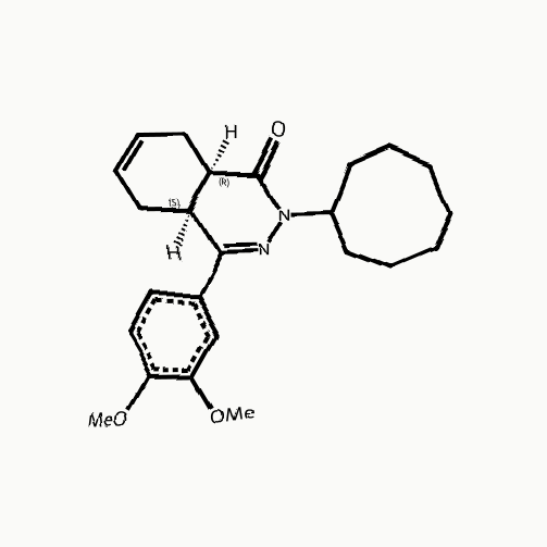 COc1ccc(C2=NN(C3CCCCCCC3)C(=O)[C@@H]3CC=CC[C@H]23)cc1OC